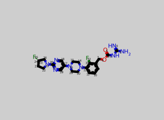 N=C(N)NC(=O)OCc1cccc(N2CCN(c3cnc(N4CC[C@H](F)C4)nc3)CC2)c1F